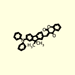 CC1(C)c2cc(/C=C3\C(=O)Oc4ccccc4C3=O)ccc2-c2ccc(N(c3ccccc3)c3ccccc3)cc21